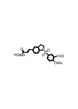 COc1ccc(S(=O)(=O)N2CCc3cc(/C=C/C(=O)NO)ccc32)cc1C=O